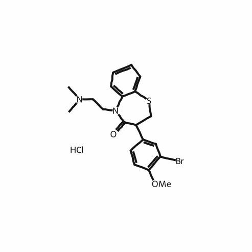 COc1ccc(C2CSc3ccccc3N(CCN(C)C)C2=O)cc1Br.Cl